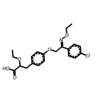 CCON=C(COc1ccc(CC(OCC)C(=O)O)cc1)c1ccc(Cl)cc1